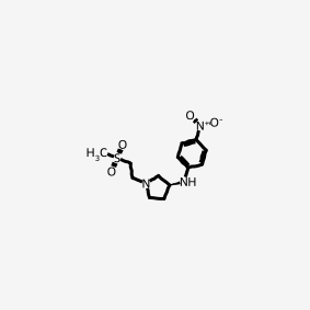 CS(=O)(=O)CCN1CC[C@H](Nc2ccc([N+](=O)[O-])cc2)C1